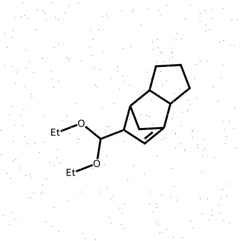 CCOC(OCC)C1C=C2CC1C1CCCC21